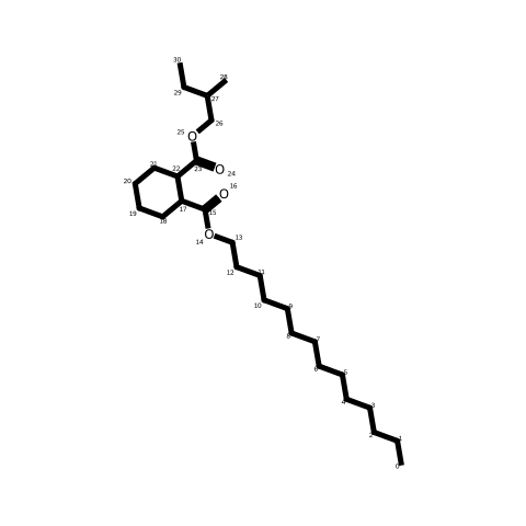 CCCCCCCCCCCCCCOC(=O)C1CCCCC1C(=O)OCC(C)CC